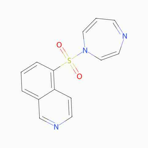 O=S(=O)(c1cccc2cnccc12)N1C=CC=NC=C1